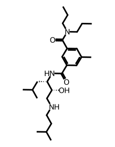 CCCN(CCC)C(=O)c1cc(C)cc(C(=O)N[C@@H](CC(C)C)[C@H](O)CNCCC(C)C)c1